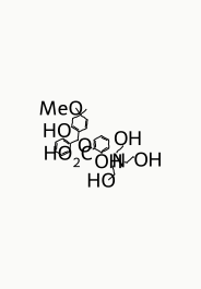 COC1(C)C=CC(C(=O)c2ccccc2)=C(O)C1.O=C(O)c1ccccc1O.OCCN(CCO)CCO